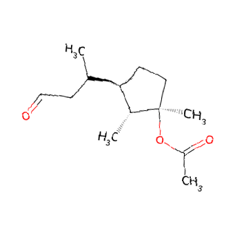 CC(=O)O[C@]1(C)CC[C@H](C(C)CC=O)[C@H]1C